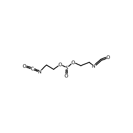 O=C=NCCOS(=O)OCCN=C=O